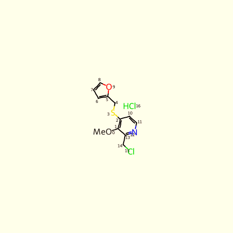 COc1c(SCc2ccco2)ccnc1CCl.Cl